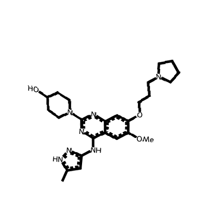 COc1cc2c(Nc3cc(C)[nH]n3)nc(N3CCC(O)CC3)nc2cc1OCCCN1CCCC1